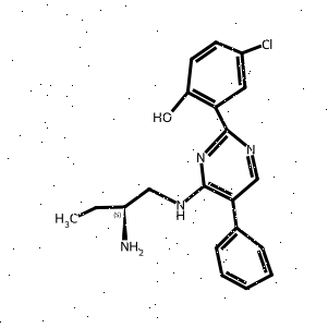 CC[C@H](N)CNc1nc(-c2cc(Cl)ccc2O)ncc1-c1ccccc1